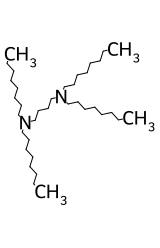 CCCCCCCCN(CCCCCCCC)CCCCN(CCCCCCCC)CCCCCCCC